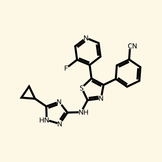 N#Cc1cccc(-c2nc(Nc3n[nH]c(C4CC4)n3)sc2-c2ccncc2F)c1